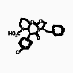 O=C(O)N1CCCCC1[C@@H](C(=O)N1C(=O)OC[C@H]1Cc1ccccc1)c1ccc(Cl)cc1